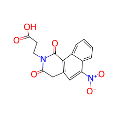 O=C(O)CCN1C(=O)Cc2cc([N+](=O)[O-])c3ccccc3c2C1=O